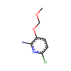 COCOc1ccc(Cl)nc1I